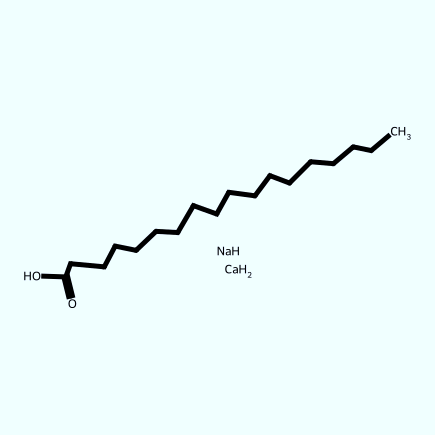 CCCCCCCCCCCCCCCCCC(=O)O.[CaH2].[NaH]